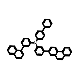 c1ccc(-c2ccc(N(c3cccc(-c4ccc5c(ccc6ccccc65)c4)c3)c3cccc(-c4cccc5ccccc45)c3)cc2)cc1